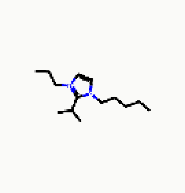 CCCCCn1cc[n+](CCC)c1C(C)C